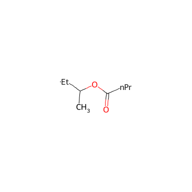 C[CH]C(C)OC(=O)CCC